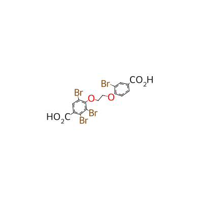 O=C(O)c1ccc(OCCOc2c(Br)cc(C(=O)O)c(Br)c2Br)c(Br)c1